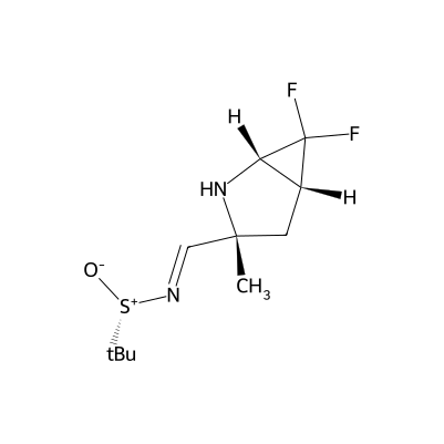 CC(C)(C)[S@+]([O-])/N=C/[C@@]1(C)C[C@@H]2[C@H](N1)C2(F)F